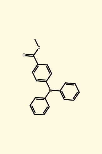 COC(=O)c1cc[c]([Bi]([c]2ccccc2)[c]2ccccc2)cc1